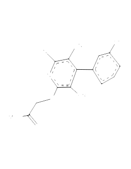 COC(=O)CSc1nc(N)c(C#N)c(-c2cccc(O)c2)c1C#N